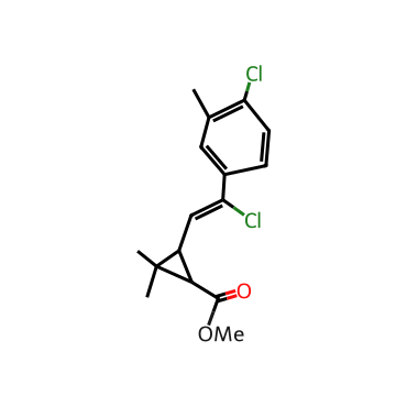 COC(=O)C1C(C=C(Cl)c2ccc(Cl)c(C)c2)C1(C)C